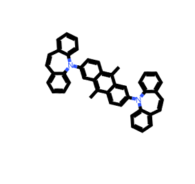 Cc1c2ccc(N3c4ccccc4C=Cc4ccccc43)cc2c(C)c2ccc(N3c4ccccc4C=Cc4ccccc43)cc12